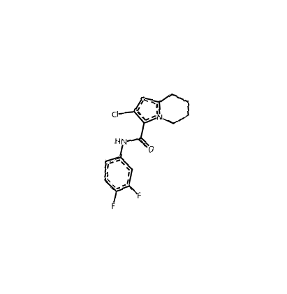 O=C(Nc1ccc(F)c(F)c1)c1c(Cl)cc2n1CCCC2